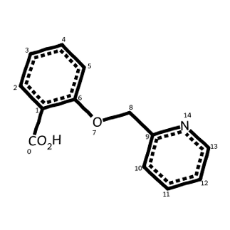 O=C(O)c1ccccc1OCc1ccccn1